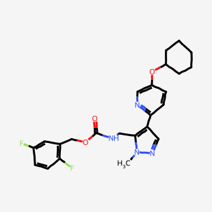 Cn1ncc(-c2ccc(OC3CCCCC3)cn2)c1CNC(=O)OCc1cc(F)ccc1F